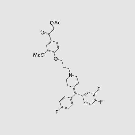 COc1cc(C(=O)COC(C)=O)ccc1OCCCN1CCC(=C(c2ccc(F)cc2)c2ccc(F)c(F)c2)CC1